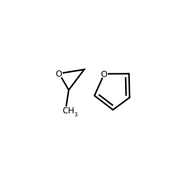 CC1CO1.c1ccoc1